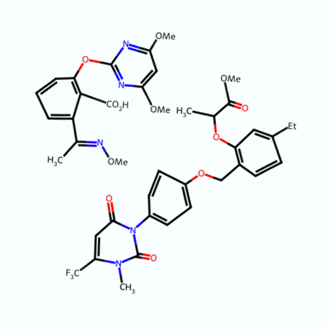 CCc1ccc(COc2ccc(-n3c(=O)cc(C(F)(F)F)n(C)c3=O)cc2)c(OC(C)C(=O)OC)c1.CON=C(C)c1cccc(Oc2nc(OC)cc(OC)n2)c1C(=O)O